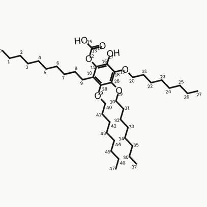 CCCCCCCCCCc1c(OC(=O)O)c(O)c(OCCCCCCCC)c(OCCCCCCCC)c1OCCCCCCCC